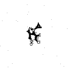 [O-][n+]1cc2cnn(C3CC3)c2c(F)c1Cl